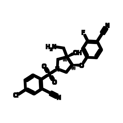 N#Cc1ccc(O[C@H]2CN(S(=O)(=O)c3ccc(Cl)cc3C#N)C[C@]2(O)CN)cc1F